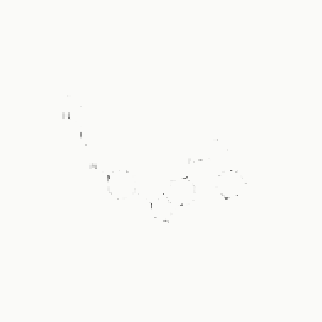 CNCCCNc1ccc(-c2cnc3ccc(NC(C)c4cccc(F)c4)nn23)cc1